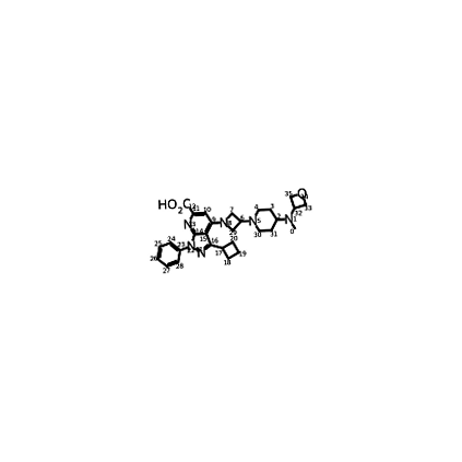 CN(C1CCN(C2CN(c3cc(C(=O)O)nc4c3c(C3CCC3)nn4-c3ccccc3)C2)CC1)C1COC1